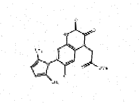 COC(=O)Cn1c(=O)c(=O)[nH]c2cc(-n3c(C)ccc3C)c(Cl)cc21